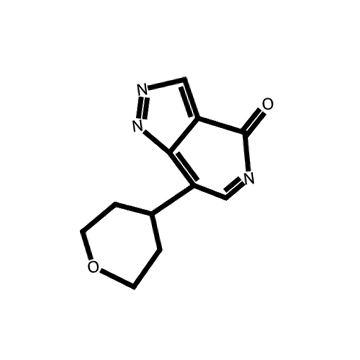 O=C1N=CC(C2CCOCC2)=C2N=NC=C12